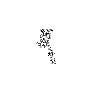 C[C@]1(CC(=O)Nc2nccs2)NCCc2cc(OCCn3cc(COc4ccccc4)nn3)c(Oc3ccc(C(=O)O)c(F)c3)cc21